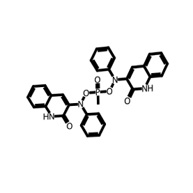 CP(=O)(ON(c1ccccc1)c1cc2ccccc2[nH]c1=O)ON(c1ccccc1)c1cc2ccccc2[nH]c1=O